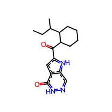 CCC(C)C1CCCCC1C(=O)c1cc2c(=O)[nH]ncc2[nH]1